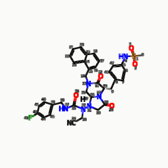 CS(=O)(=O)Nc1ccc(C[C@H]2C(=O)N(Cc3cccc4ccccc34)C[C@H]3N2C(=O)CN3N(CC#N)C(=O)NCc2ccc(F)cc2)cc1